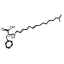 CC(C)CCCCCCCCCCCCCN[C@@H](Cc1ccccc1)C(=O)O